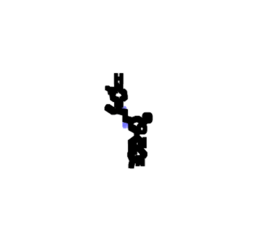 C=C/C(=C\C=C1\C=C(c2cn3cc(C)ncc3n2)OC(=O)C1)N1CCN[C@H](C)C1